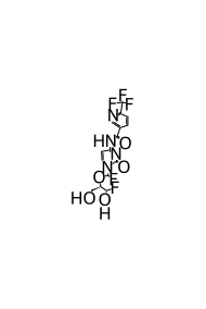 O=C(Nc1ccn([C@@H](F)O[C@H](CO)[C@@H](O)F)c(=O)n1)c1ccc(C(F)(F)F)nc1